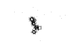 Clc1nc(-c2ccccc2)cc(-c2ccc3c(c2)oc2ccccc23)n1